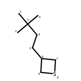 CC(C)(C)CCC1CSC1